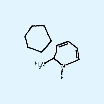 C1CCCCC1.NC1C=CC=CN1F